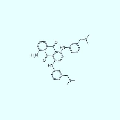 CN(C)Cc1cccc(Nc2ccc(Nc3cccc(CN(C)C)c3)c3c2C(=O)c2cccc(N)c2C3=O)c1